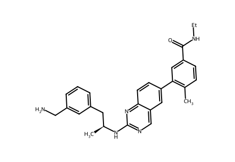 CCNC(=O)c1ccc(C)c(-c2ccc3nc(N[C@@H](C)Cc4cccc(CN)c4)ncc3c2)c1